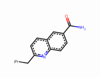 CC(C)Cc1ccc2cc(C(N)=O)ccc2n1